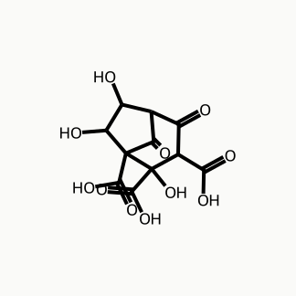 O=C(O)C1C(=O)C2C(=O)C(C(=O)O)(C(O)C2O)C1(O)C(=O)O